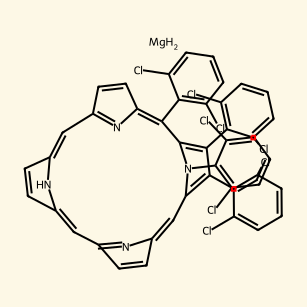 Clc1cccc(Cl)c1-c1c(-c2c(Cl)cccc2Cl)c2c(-c3c(Cl)cccc3Cl)c3nc(cc4ccc(cc5nc(cc1n2-c1c(Cl)cccc1Cl)C=C5)[nH]4)C=C3.[MgH2]